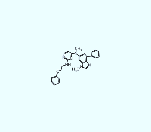 CN(c1cc(-c2ccccc2)c2ncn(C)c2c1)c1ccnc(NCCOc2ccccc2)n1